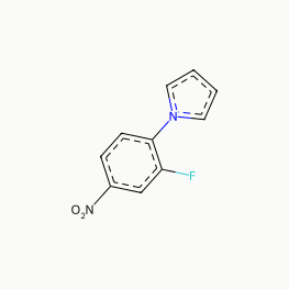 O=[N+]([O-])c1ccc(-n2cccc2)c(F)c1